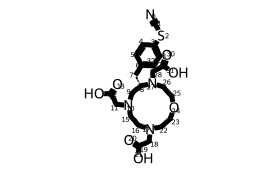 N#CSc1ccc(C[C@H]2CN(CC(=O)O)CCN(CC(=O)O)CCOCCN2CC(=O)O)cc1